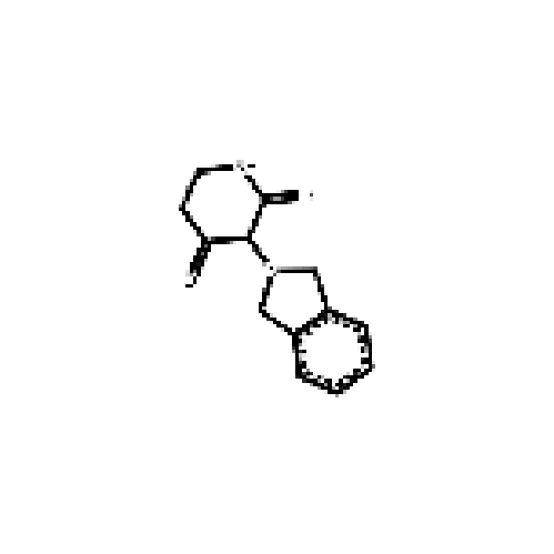 O=C1CCNC(=O)C1N1Cc2ccccc2C1